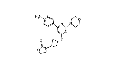 Nc1ncc(-c2cc(O[C@H]3C[C@H](N4CCOC4=O)C3)nc(N3CCOCC3)n2)cn1